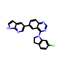 Clc1ccc2c(c1)N(c1ncnc3ccc(-c4cnc5[nH]ccc5c4)cc13)CC2